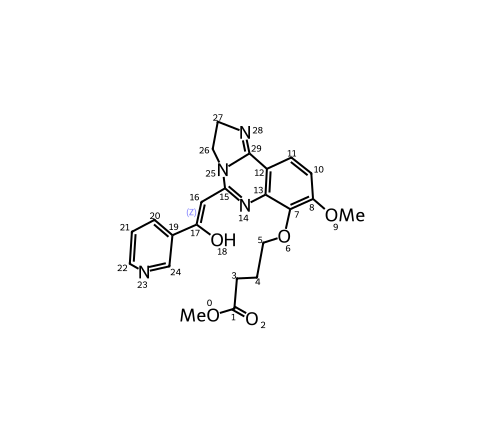 COC(=O)CCCOc1c(OC)ccc2c1N=C(/C=C(\O)c1cccnc1)N1CCN=C21